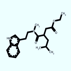 CCOC(=O)CC(CC(C)C)C(=O)N(C)CCc1c[nH]c2ccccc12